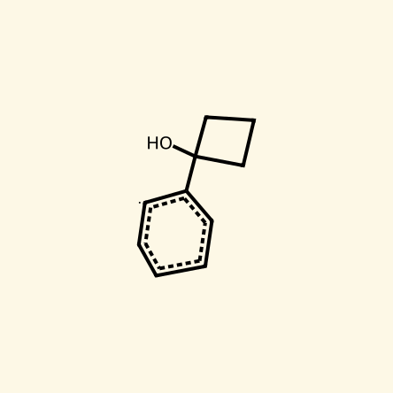 OC1(c2[c]cccc2)CCC1